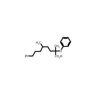 CC(C)CCCC(C)CCC(C)(Oc1ccccc1)C(=O)O